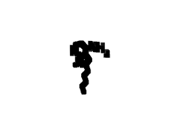 CCCCCc1cc2c(N)ccnc2n1C